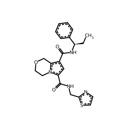 CC[C@@H](NC(=O)c1cc(C(=O)NCc2nccs2)n2c1COCC2)c1ccccc1